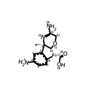 C[C@@]1(c2cc(N)ccc2F)COCC(N)=N1.O=CO